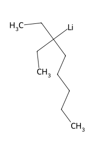 [Li][C](CC)(CC)CCCCC